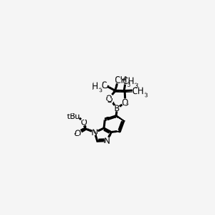 CC(C)(C)OC(=O)n1cnc2ccc(B3OC(C)(C)C(C)(C)O3)cc21